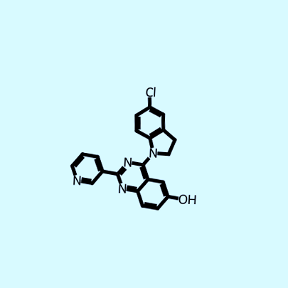 Oc1ccc2nc(-c3cccnc3)nc(N3CCc4cc(Cl)ccc43)c2c1